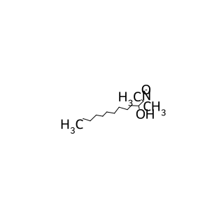 CCCCCCCCCCC(O)C(C)(C)N=O